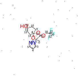 CC1(n2cccn2)OC2(CCC(O)CC2)OC1OCC(F)(F)F